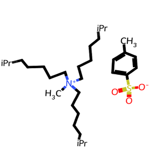 CC(C)CCCCC[N+](C)(CCCCCC(C)C)CCCCCC(C)C.Cc1ccc(S(=O)(=O)[O-])cc1